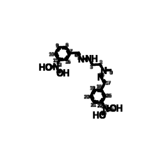 CN(CCN/N=C/c1cccc(N(O)O)c1)/N=C/c1cccc(N(O)O)c1